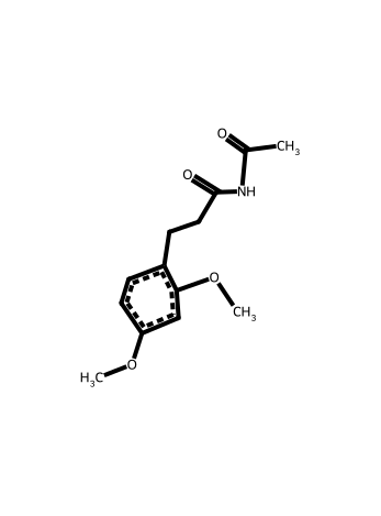 COc1ccc(CCC(=O)NC(C)=O)c(OC)c1